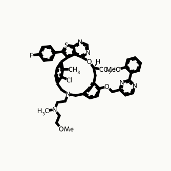 COCCN(C)CCN1Cc2ccc(OCc3ccnc(-c4ccccc4OC)n3)c(c2)C[C@H](C(=O)O)Oc2ncnc3sc(-c4ccc(F)cc4)c(c23)-c2ccc(c(Cl)c2C)C1